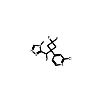 Cn1cnnc1C(F)C1(c2ccnc(Cl)c2)CC(F)(F)C1